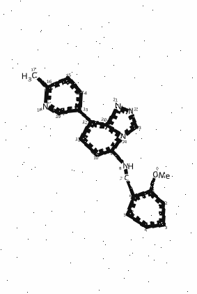 COc1ccccc1CNc1ccc(-c2ccc(C)nc2)c2nncn12